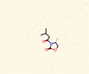 CC(C)CC(=O)N1C(=O)OC[C@H]1C